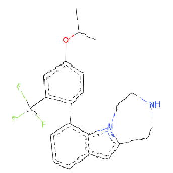 CC(C)Oc1ccc(-c2cccc3cc4n(c23)CCNCC4)c(C(F)(F)F)c1